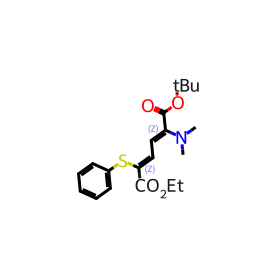 CCOC(=O)/C(=C/C=C(/C(=O)OC(C)(C)C)N(C)C)Sc1ccccc1